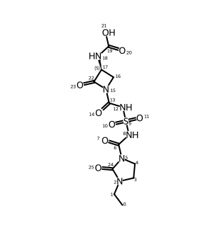 CCN1CCN(C(=O)NS(=O)(=O)NC(=O)N2C[C@H](NC(=O)O)C2=O)C1=O